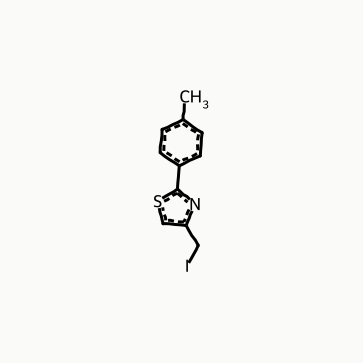 Cc1ccc(-c2nc(CI)cs2)cc1